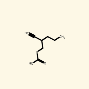 C#CC(CCC)COC(=O)O